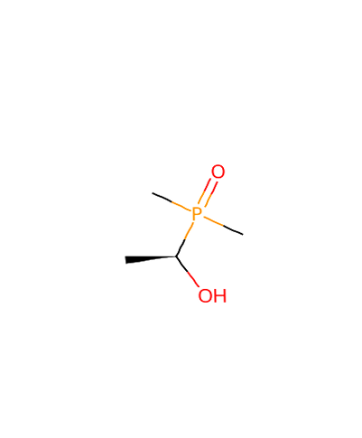 C[C@H](O)P(C)(C)=O